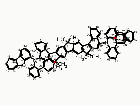 CC1(C)c2cc3c(cc2-c2cc4c(cc21)-c1c(cc(N(c2ccccc2-c2ccccc2)c2cccc5c2oc2ccccc25)c2ccccc12)C4(C)C)C(C)(C)c1cc(N(c2ccccc2-c2ccccc2)c2cccc4c2oc2ccccc24)c2ccccc2c1-3